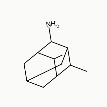 CC1C2CC3CC1C(N)C(C3)C2C